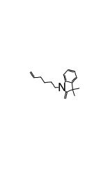 C=CCCCCN1C(=C)C(C)(C)c2ccccc21